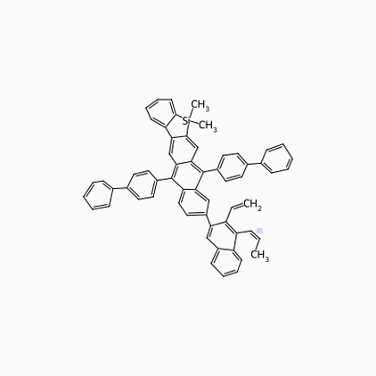 C=Cc1c(-c2ccc3c(-c4ccc(-c5ccccc5)cc4)c4cc5c(cc4c(-c4ccc(-c6ccccc6)cc4)c3c2)[Si](C)(C)c2ccccc2-5)cc2ccccc2c1/C=C\C